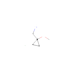 COC1(CN)CC1.Cl